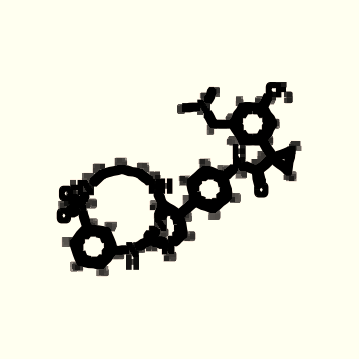 CN(C)Cc1cc(C(F)(F)F)cc(C2(C(=O)Nc3ccc(-c4cnc5nc4NCCCNS(=O)(=O)c4cccc(c4)N5)cc3)CC2)c1